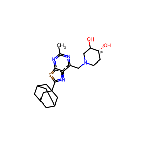 Cc1nc(CN2CC[C@@H](O)C(O)C2)c2nc(C34CC5CC(CC(C5)C3)C4)sc2n1